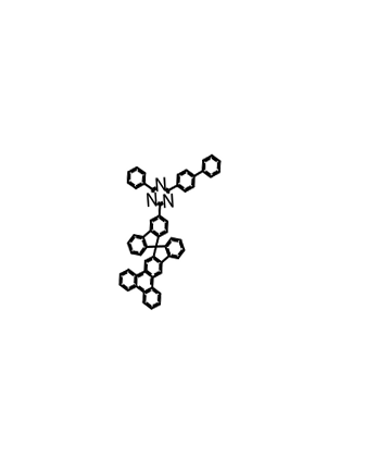 c1ccc(-c2ccc(-c3nc(-c4ccccc4)nc(-c4ccc5c(c4)-c4ccccc4C54c5ccccc5-c5cc6c7ccccc7c7ccccc7c6cc54)n3)cc2)cc1